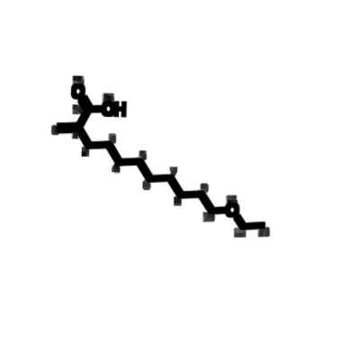 C=C(CCCCCCCCCOCC)C(=O)O